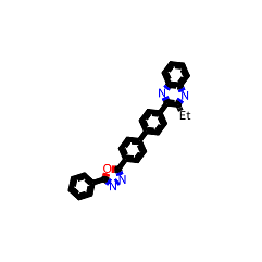 CCc1nc2ccccc2nc1-c1ccc(-c2ccc(-c3nnc(-c4ccccc4)o3)cc2)cc1